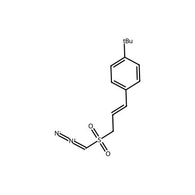 CC(C)(C)c1ccc(C=CCS(=O)(=O)C=[N+]=[N-])cc1